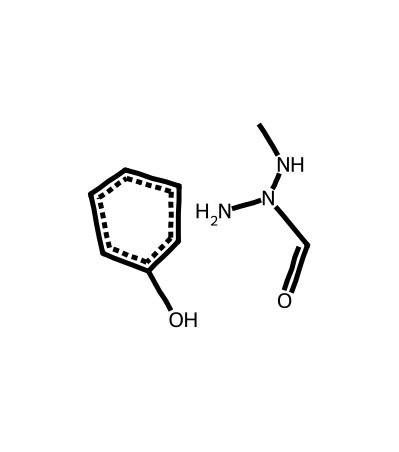 CNN(N)C=O.Oc1ccccc1